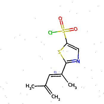 C=C(C)/C=C(\C)c1ncc(S(=O)(=O)Cl)s1